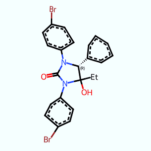 CCC1(O)[C@@H](c2ccccc2)N(c2ccc(Br)cc2)C(=O)N1c1ccc(Br)cc1